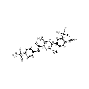 C[C@@H]1CN(C(=O)Nc2ccc(S(C)(=O)=O)nc2)[C@@H](C)CN1c1ccc(C#N)c(C(F)(F)F)c1